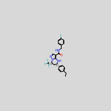 CCc1ccc([C@@H]2C[C@H](C(F)(F)F)n3ncc(C(=O)NCc4ccc(F)cc4)c3N2)cc1